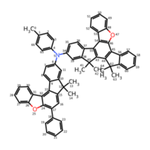 Cc1ccc(N(c2ccc3c(c2)C(C)(C)c2cc(-c4ccccc4)c4oc5ccccc5c4c2-3)c2ccc3c(c2)C(C)(C)c2c4c(c5oc6ccccc6c5c2-3)-c2ccccc2C4(C)C)cc1